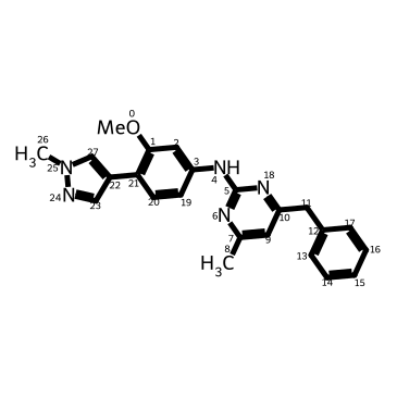 COc1cc(Nc2nc(C)cc(Cc3ccccc3)n2)ccc1-c1cnn(C)c1